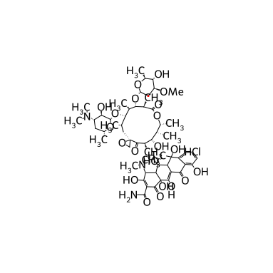 CN(C)C1C(O)=C(C(N)=O)C(=O)C2(O)C(O)=C3C(=O)c4c(O)cccc4C(C)(O)C3C(O)C12.CO[C@H]1C[C@H](O[C@H]2[C@H](C)[C@@H](O[C@@H]3O[C@H](C)C[C@H](N(C)C)[C@H]3O)[C@@H](C)C[C@@]3(CO3)C(=O)[C@H](C)[C@@H](O)[C@@H](C)[C@@H](C)OC(=O)[C@@H]2C)O[C@@H](C)[C@@H]1O.Cl